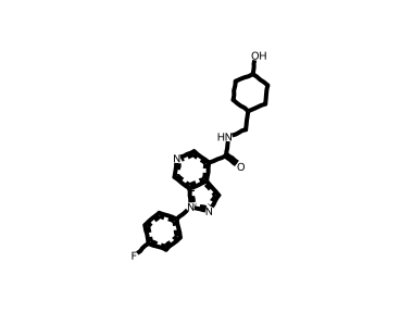 O=C(NCC1CCC(O)CC1)c1cncc2c1cnn2-c1ccc(F)cc1